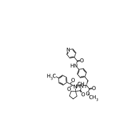 COC(=O)[C@H](Cc1ccc(NC(=O)c2ccncc2)cc1)NC(=O)C1(N(C)S(=O)(=O)c2ccc(C)cc2)CCCC1